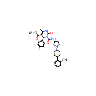 COC(=O)C1=C(C)NC(=O)N(C(=O)N[C@@H]2CCN(C3CCC(c4ccccc4C#N)CC3)C2)[C@H]1c1ccc(F)c(F)c1